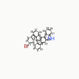 Brc1cccc2c1-c1ccccc1C21c2ccccc2-c2c1ccc1[nH]c3ccccc3c21